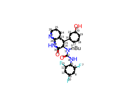 CCCCN(C(=O)Nc1c(F)cc(F)cc1F)c1c(-c2cccc(O)c2)c2cccnc2[nH]c1=O